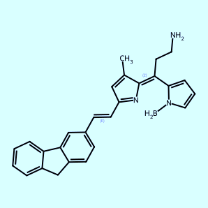 Bn1cccc1/C(CCN)=C1N=C(/C=C/c2ccc3c(c2)-c2ccccc2C3)C=C\1C